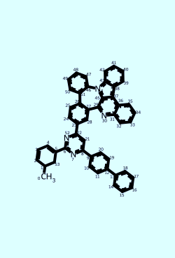 CC1C=CC=C(c2nc(-c3ccc(-c4ccccc4)cc3)cc(-c3ccc4c(c3)-c3nc5ccccc5c5c6ccccc6n(c35)-c3ccccc3-4)n2)C1